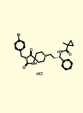 CC1(C(=O)N[C@@H](CCN2CCC3(CC2)NC(=O)N(Cc2ccc(Br)cc2)C3=O)c2ccccc2)CC1.Cl